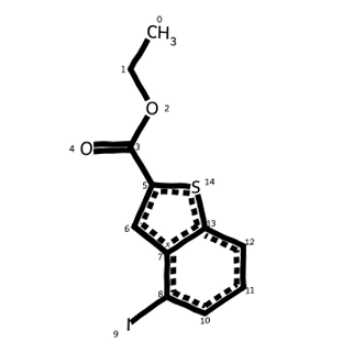 CCOC(=O)c1cc2c(I)cccc2s1